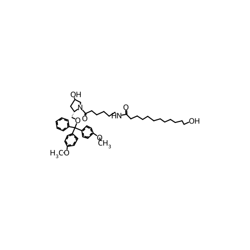 COc1ccc(C(OC[C@@H]2C[C@@H](O)CN2C(=O)CCCCCNC(=O)CCCCCCCCCCCO)(c2ccccc2)c2ccc(OC)cc2)cc1